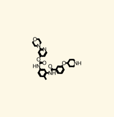 Cc1ccc(NC(=O)Oc2ccnc(N3CCOCC3)c2)cc1NC(=O)c1cccc(OC2CCNCC2)c1